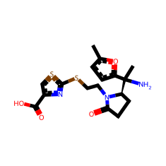 Cc1ccc(C(C)(N)[C@H]2CCC(=O)N2CCSc2nc(C(=O)O)cs2)o1